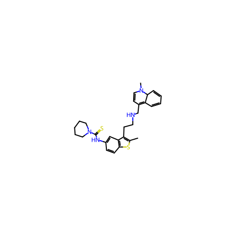 Cc1sc2ccc(NC(=S)N3CCCCC3)cc2c1CCNCC1=C2C=CC=CC2N(C)C=C1